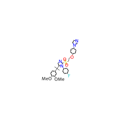 COc1ccc(C(C)(C)c2cnc(S(=O)(=O)CCOc3ccc(-n4ccnc4)cc3)n2-c2ccc(F)cc2)cc1OC